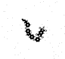 CCCC(C)(C)c1cccc(Oc2ccc([C@](C)(CC)c3ccc(Oc4cccc(-n5c(=O)c6cc7c(=O)n(C)c(=O)c7cc6c5=O)c4)cc3)cc2)c1